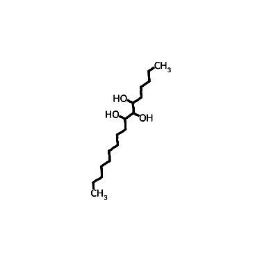 CCCCCCCCCC(O)C(O)C(O)CCCCC